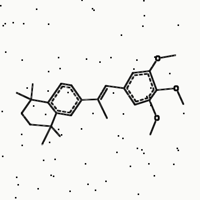 COc1cc(C=C(C)c2ccc3c(c2)C(C)(C)CCC3(C)C)cc(OC)c1OC